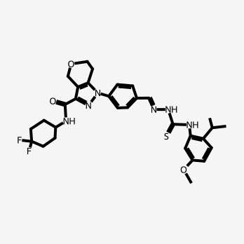 COc1ccc(C(C)C)c(NC(=S)NN=Cc2ccc(-n3nc(C(=O)NC4CCC(F)(F)CC4)c4c3CCOC4)cc2)c1